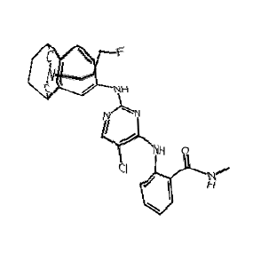 CNC(=O)c1ccccc1Nc1nc(Nc2ccc3c(c2)C2CCC3CN(CCF)C2)ncc1Cl